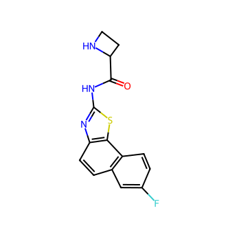 O=C(Nc1nc2ccc3cc(F)ccc3c2s1)C1CCN1